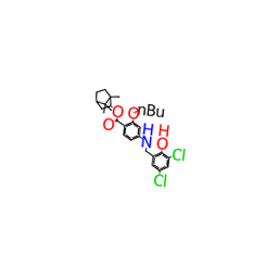 CCCCOc1cc(NCc2cc(Cl)cc(Cl)c2O)ccc1C(=O)OC1CC2CCC1(C)C2(C)C